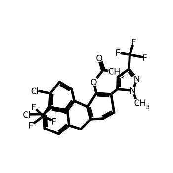 CC(=O)Oc1c(-c2cc(C(F)(F)F)nn2C)ccc(Cc2ccc(Cl)cc2)c1-c1ccc(Cl)c(C(F)(F)F)c1